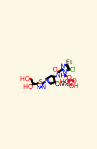 CCc1nc(C(=O)N[C@@H]2CCN(c3nnc([C@@H](O)CO)s3)C[C@@H]2OC)n(COP(=O)(O)O)c1Cl